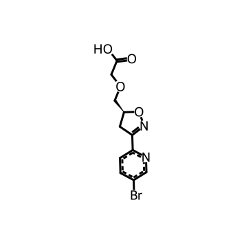 O=C(O)COC[C@@H]1CC(c2ccc(Br)cn2)=NO1